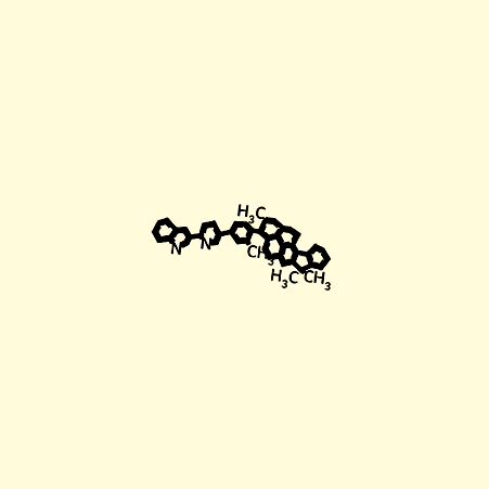 Cc1cc(-c2ccc(-c3cnc4ccccc4c3)nc2)ccc1-c1c(C)cc2ccc3c4c(cc5ccc1c2c53)C(C)(C)c1ccccc1-4